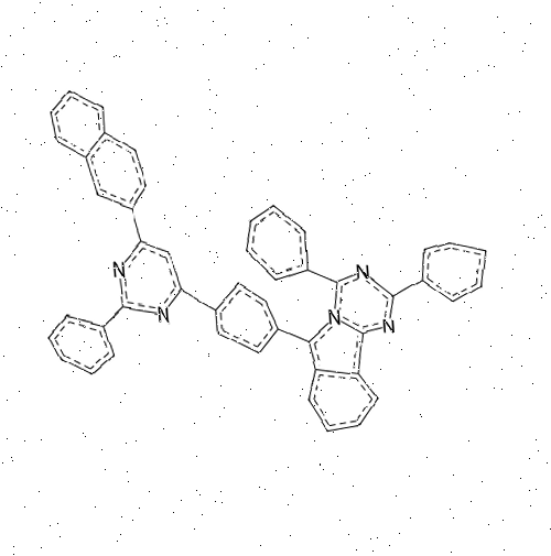 c1ccc(-c2nc(-c3ccc(-c4c5ccccc5c5nc(-c6ccccc6)nc(-c6ccccc6)n45)cc3)cc(-c3ccc4ccccc4c3)n2)cc1